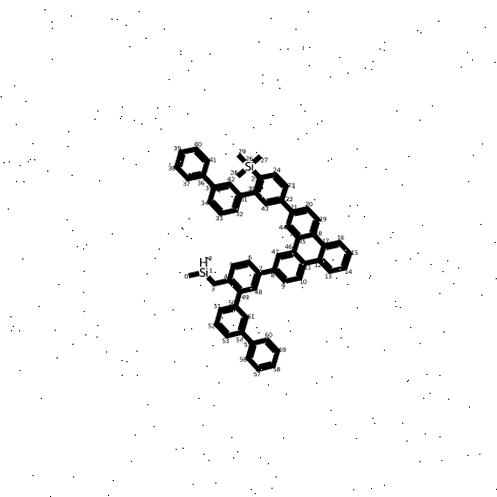 C[SiH](C)Cc1ccc(-c2ccc3c4ccccc4c4ccc(-c5ccc([Si](C)(C)C)c(-c6cccc(-c7ccccc7)c6)c5)cc4c3c2)cc1-c1cccc(-c2ccccc2)c1